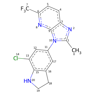 Cc1nc2ccc(C(F)(F)F)nc2n1-c1cc(Cl)c2c(c1)CCN2